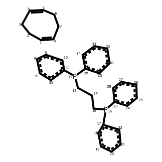 C1=CCCC=CCC1.c1ccc(P(CCCP(c2ccccc2)c2ccccc2)c2ccccc2)cc1